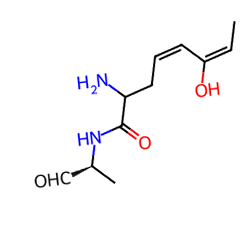 C/C=C(O)\C=C/CC(N)C(=O)N[C@@H](C)C=O